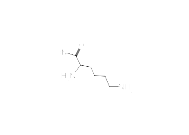 NCCCCC(N)C(=O)N=O